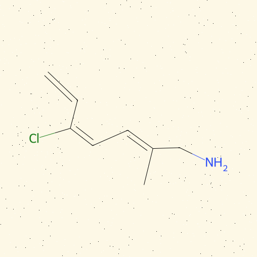 C=C/C(Cl)=C\C=C(/C)CN